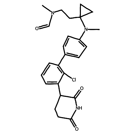 CN(C=O)CCC1(N(C)c2ccc(-c3cccc(C4CCC(=O)NC4=O)c3Cl)cc2)CC1